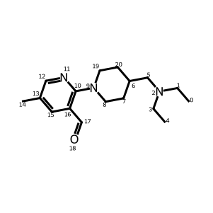 CCN(CC)CC1CCN(c2ncc(C)cc2C=O)CC1